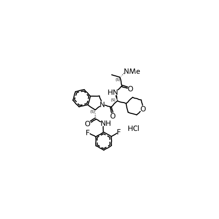 CN[C@@H](C)C(=O)N[C@H](C(=O)N1Cc2ccccc2[C@H]1C(=O)Nc1c(F)cccc1F)C1CCOCC1.Cl